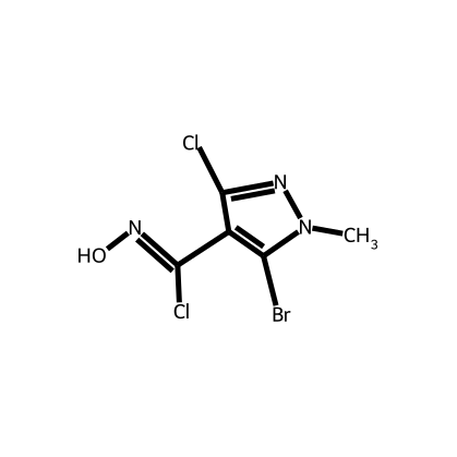 Cn1nc(Cl)c(C(Cl)=NO)c1Br